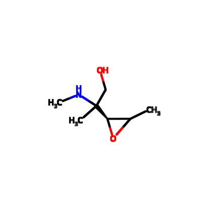 CNC(C)(CO)[C@@H]1OC1C